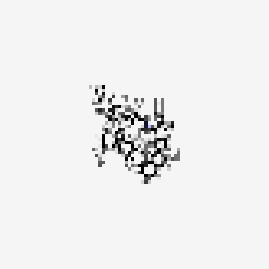 COc1ccc(CN(Cc2ccc(OC)cc2)S(=O)(=O)[C@H](C)[C@@H](C)C/C=C(\F)C(C(=O)O)N2CCC[C@H]2CN2C[C@@]3(CCCc4cc(Cl)ccc43)COc3ccc(I)cc32)cc1